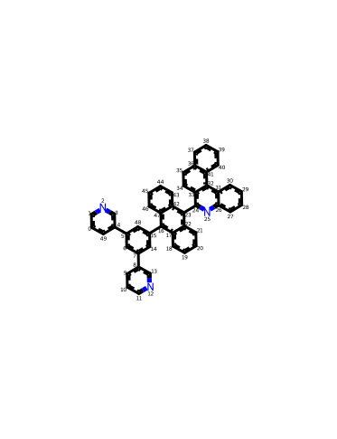 c1cncc(-c2cc(-c3cccnc3)cc(-c3c4ccccc4c(-c4nc5ccccc5c5c4ccc4ccccc45)c4ccccc34)c2)c1